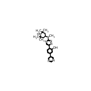 CN(c1ncc(-c2ccc(-c3cncnc3)cc2O)nn1)C1CC(C)(C)NC(C)(C)C1